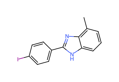 Cc1cccc2[nH]c(-c3ccc(I)cc3)nc12